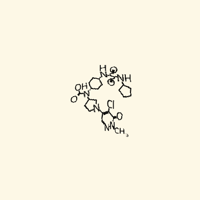 Cn1ncc(N2CCC(N(C(=O)O)[C@H]3CC[C@H](NS(=O)(=O)NC4CCCC4)CC3)C2)c(Cl)c1=O